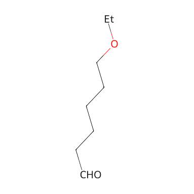 CCOCCCCCC=O